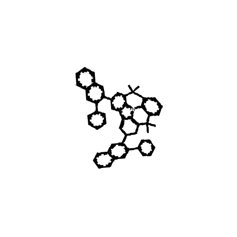 CC1(C)C2=c3c(c4cc(-c5cc6ccccc6cc5-c5ccccc5)cc5c4n3-c3c1cccc3C5(C)C)=CC(c1cc3ccccc3cc1-c1ccccc1)C2